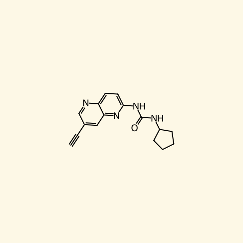 C#Cc1cnc2ccc(NC(=O)NC3CCCC3)nc2c1